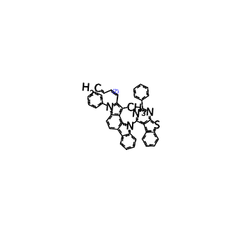 C=C/C=C\c1c(C)c2c(ccc3c4ccccc4n(-c4nc(-c5ccccc5)nc5sc6ccccc6c45)c32)n1-c1ccccc1